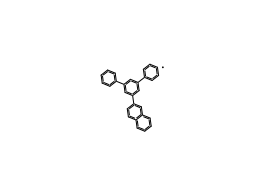 [c]1ccc(-c2cc(-c3ccccc3)cc(-c3ccc4ccccc4c3)c2)cc1